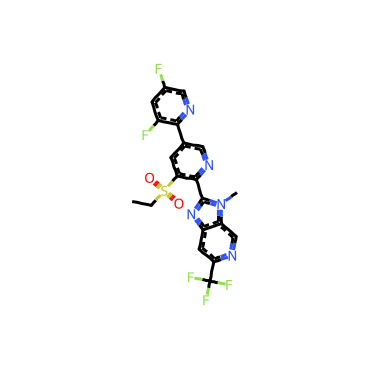 CCS(=O)(=O)c1cc(-c2ncc(F)cc2F)cnc1-c1nc2cc(C(F)(F)F)ncc2n1C